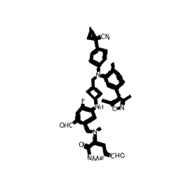 CNC(=O)C(CCC=O)N(C)Cc1cc(NC2CC(CN(c3ccc(C4(C#N)CC4)cc3)c3cc(-c4c(C)noc4C)ccc3C)C2)c(F)cc1C=O